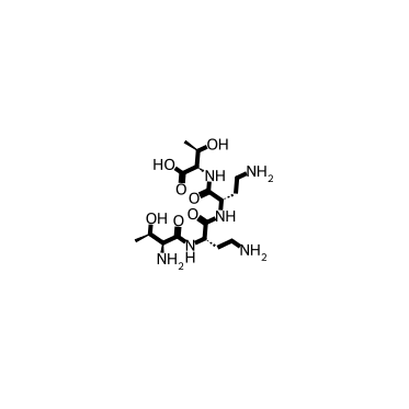 C[C@@H](O)[C@H](N)C(=O)N[C@@H](CCN)C(=O)N[C@@H](CCN)C(=O)N[C@H](C(=O)O)[C@@H](C)O